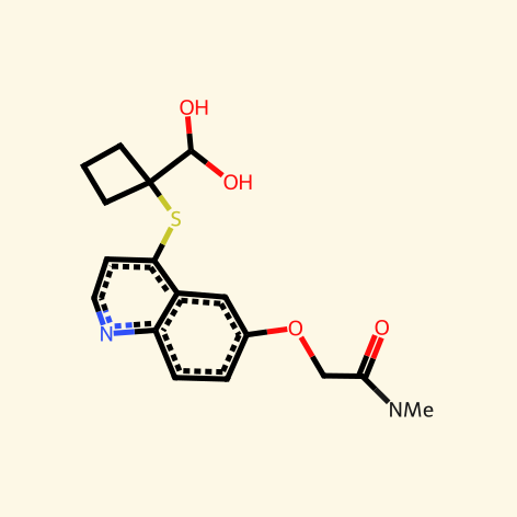 CNC(=O)COc1ccc2nccc(SC3(C(O)O)CCC3)c2c1